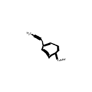 CC#CC1=CCC(OC)C=C1